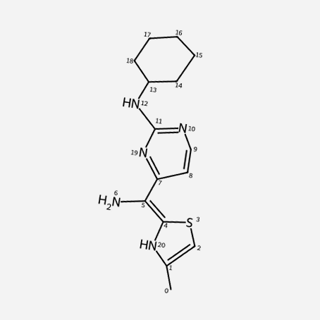 CC1=CS/C(=C(/N)c2ccnc(NC3CCCCC3)n2)N1